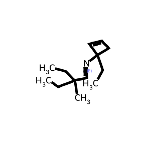 CCC(C)(/C=N/C1(CC)C=CC1)CC